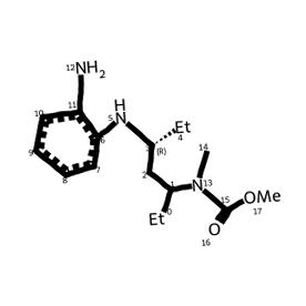 CCC(C[C@@H](CC)Nc1ccccc1N)N(C)C(=O)OC